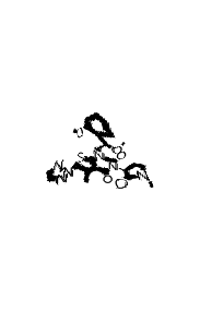 COc1ccccc1[C@H](Cn1c(=O)n([C@@H]2CCN(C)C2=O)c(=O)c2c(C)c(-n3nccn3)sc21)OC